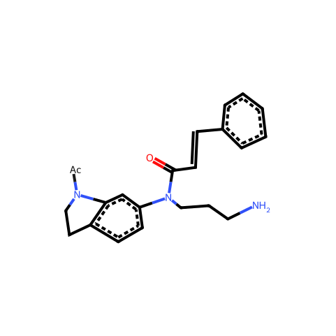 CC(=O)N1CCc2ccc(N(CCCN)C(=O)C=Cc3ccccc3)cc21